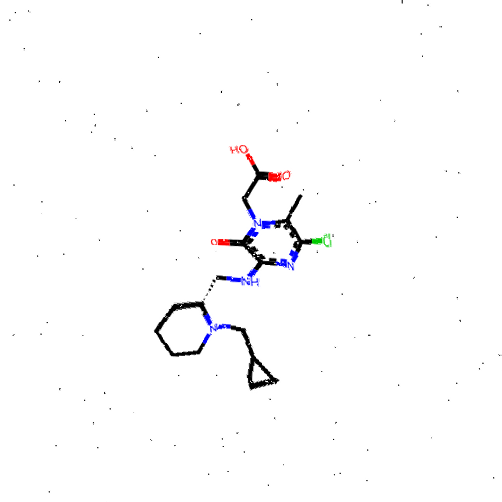 Cc1c(Cl)nc(NC[C@H]2CCCCN2CC2CC2)c(=O)n1CC(=O)O